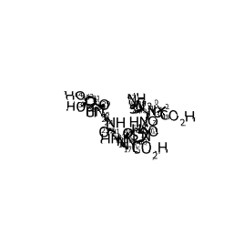 CC(C)(O/N=C(\C(=O)N[C@@H]1C(=O)N2C[C@@](C(=O)O)(N3CCN(NCC(=O)NCCNC(=O)c4ccc(O)c(O)c4Cl)C3=O)S[C@H]12)c1csc(N)n1)C(=O)O